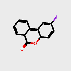 O=C1OC2C=CC(I)=CC2=C2C=CC=CC12